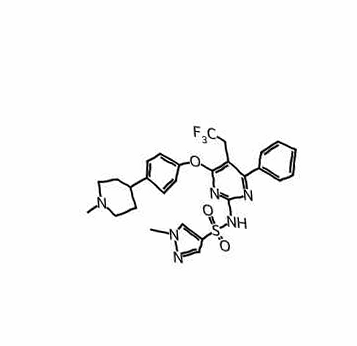 CN1CCC(c2ccc(Oc3nc(NS(=O)(=O)c4cnn(C)c4)nc(-c4ccccc4)c3CC(F)(F)F)cc2)CC1